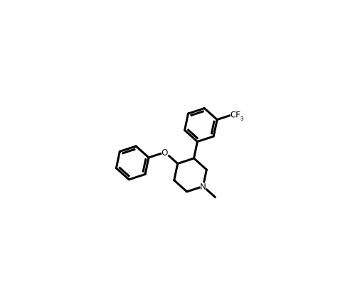 CN1CCC(Oc2ccccc2)C(c2cccc(C(F)(F)F)c2)C1